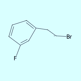 Fc1cccc(C[CH]Br)c1